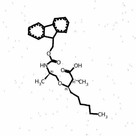 CCCCCC[C@@H](OC[C@@H](C)NC(=O)OCC1c2ccccc2-c2ccccc21)[C@@H](C)C(=O)O